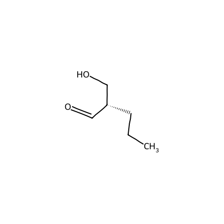 CCC[C@H](C=O)CO